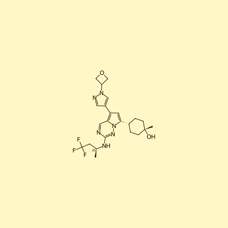 C[C@@H](CC(F)(F)F)Nc1ncc2c(-c3cnn(C4COC4)c3)cc([C@H]3CC[C@@](C)(O)CC3)n2n1